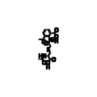 CC(=O)NC(CSCC(=O)Nc1c(C(C)=O)cccc1C(=O)O)C(=O)O